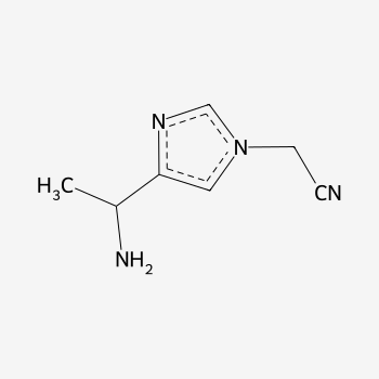 CC(N)c1cn(CC#N)cn1